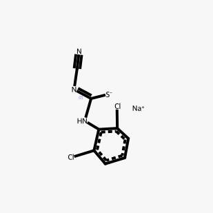 N#C/N=C(\[S-])Nc1c(Cl)cccc1Cl.[Na+]